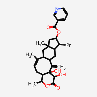 C=C1C2CC3C(C(C)C)C(OC(=O)c4cccnc4)CC3(C)CC2C(C)=CCC2C(C)OC(=O)C(O)C12O